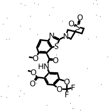 COC(=O)c1cc2c(cc1NC(=O)c1c(OC)ccc3nc(N4CC5(CCS5(=O)=O)C4)sc13)OC(F)(F)O2